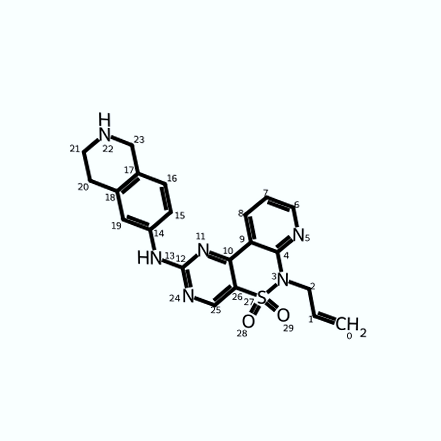 C=CCN1c2ncccc2-c2nc(Nc3ccc4c(c3)CCNC4)ncc2S1(=O)=O